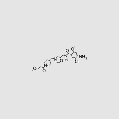 COCCC(=O)N1CCC(CN2CCOC(CNC(=O)c3cc(Cl)c(N)cc3OC)C2)CC1